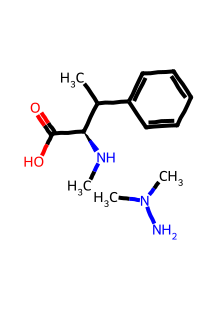 CN(C)N.CN[C@@H](C(=O)O)C(C)c1ccccc1